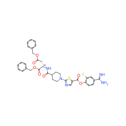 N=C(N)c1ccc(OC(=O)c2cnc(N3CCC(C(=O)N[C@@H](CC(=O)OCc4ccccc4)C(=O)OCc4ccccc4)CC3)s2)c(F)c1